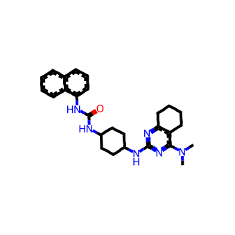 CN(C)c1nc(NC2CCC(NC(=O)Nc3cccc4ccccc34)CC2)nc2c1CCCC2